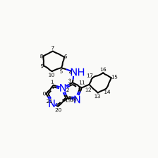 c1cn2c(NC3CCCCC3)c(C3CCCCC3)nc2cn1